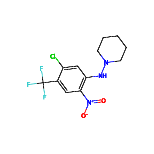 O=[N+]([O-])c1cc(C(F)(F)F)c(Cl)cc1NN1CCCCC1